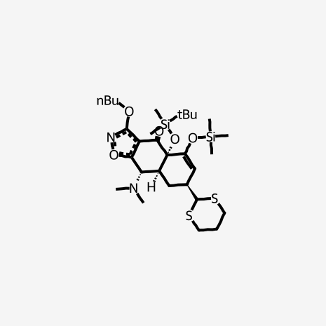 CCCCOc1noc2c1C(=O)[C@@]1(O[Si](C)(C)C(C)(C)C)C(O[Si](C)(C)C)=C[C@@H](C3SCCCS3)C[C@H]1[C@@H]2N(C)C